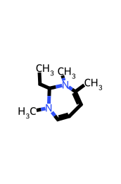 CCC1N(C)C=CC=C(C)N1C